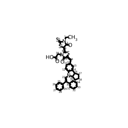 CCN1C(=O)/C(=c2\s/c(=C/c3ccc4c(c3)C3CCCC3N4C=C(c3ccccc3)c3ccccc3)c(=O)n2CC(=O)O)SC1=S